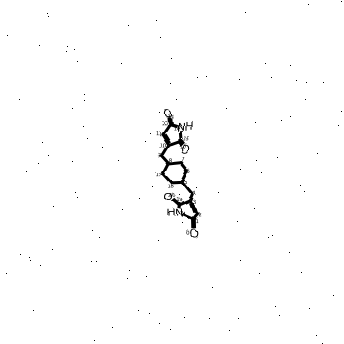 O=C1C=C(CC2CCC(CC3=CC(=O)NC3=O)CC2)C(=O)N1